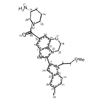 COCCn1c(-c2nc3cc(C(=O)N4CCC[C@@H](N)C4)cc4c3n2CCO4)cc2cc(F)ccc21